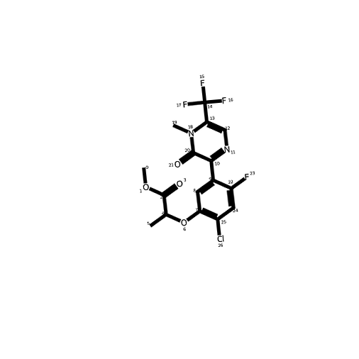 COC(=O)C(C)Oc1cc(-c2ncc(C(F)(F)F)n(C)c2=O)c(F)cc1Cl